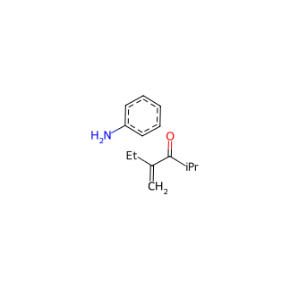 C=C(CC)C(=O)C(C)C.Nc1ccccc1